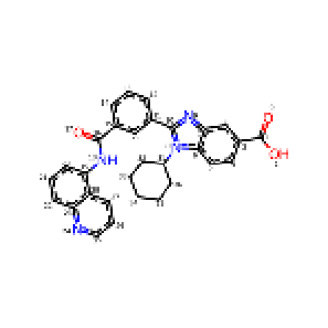 O=C(O)c1ccc2c(c1)nc(-c1cccc(C(=O)Nc3cccc4ncccc34)c1)n2C1CCCCC1